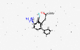 COC(=O)Cc1c(-c2ccccc2)ccc(N)c1F